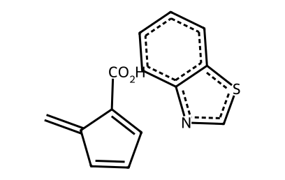 C=C1C=CC=C1C(=O)O.c1ccc2scnc2c1